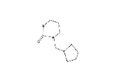 O=C1[N]CCCN1CC1CCCC1